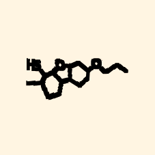 CCCOC1CCC2C(C1)OC1C(S)C(C)CCC21